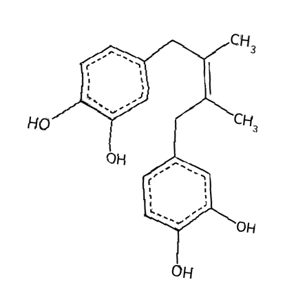 CC(Cc1ccc(O)c(O)c1)=C(C)Cc1ccc(O)c(O)c1